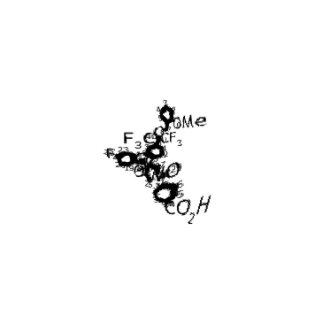 COc1ccccc1COC(c1ccc([C@]2(S(=O)(=O)c3ccc(F)cc3)CCN(C(=O)[C@H]3CC[C@H](C(=O)O)CC3)C2)cc1)(C(F)(F)F)C(F)(F)F